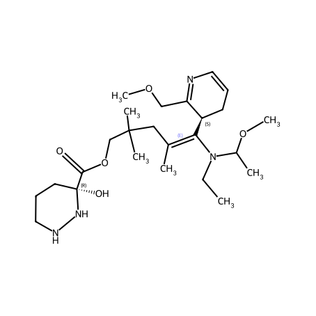 CCN(/C(=C(\C)CC(C)(C)COC(=O)[C@]1(O)CCCNN1)[C@@H]1CC=CN=C1COC)C(C)OC